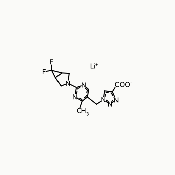 Cc1nc(N2CC3C(C2)C3(F)F)ncc1Cn1cc(C(=O)[O-])nn1.[Li+]